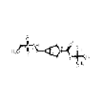 CCS(=O)(=O)NCC1C2CN(C(=O)OC(C)(C)C)CC12